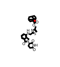 O=C1CCC(N2Cc3c(NCc4nc(COC(=O)C56CC7CC(C5)C(=O)C(C7)C6)cs4)cccc3C2=O)C(=O)N1